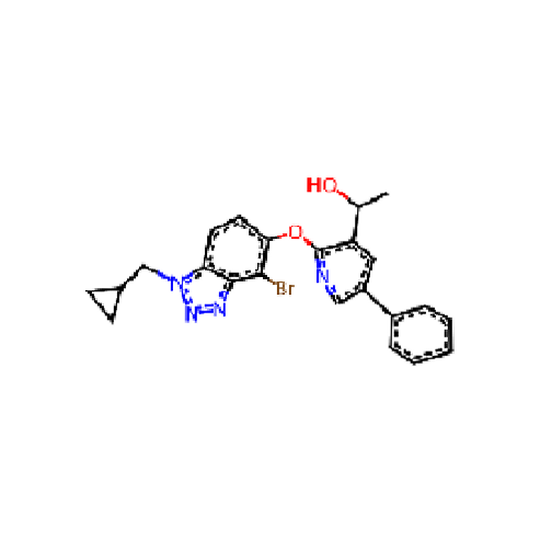 CC(O)c1cc(-c2ccccc2)cnc1Oc1ccc2c(nnn2CC2CC2)c1Br